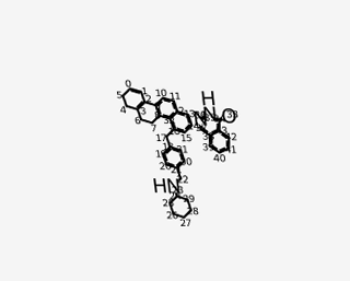 C1=CC2=C(CC1)CCc1c2ccc2cccc(Cc3ccc(CNC4CCCCC4)cc3)c12.O=c1[nH]ncc2ccccc12